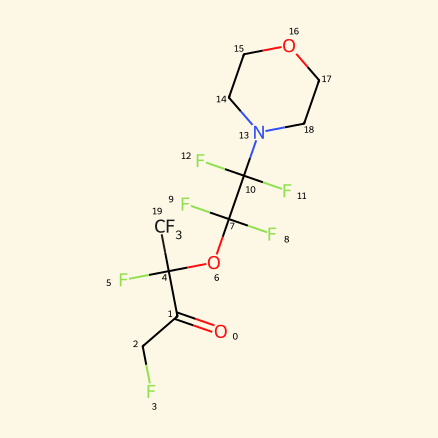 O=C(CF)C(F)(OC(F)(F)C(F)(F)N1CCOCC1)C(F)(F)F